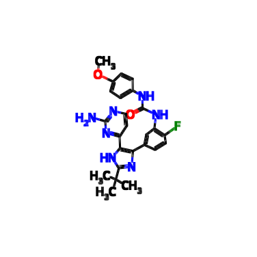 COc1ccc(NC(=O)Nc2cc(-c3nc(C(C)(C)C)[nH]c3-c3ccnc(N)n3)ccc2F)cc1